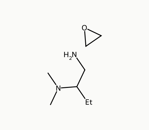 C1CO1.CCC(CN)N(C)C